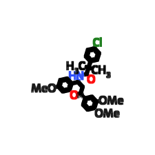 COc1ccc2c(c1)O[C@H](c1ccc(OC)c(OC)c1)CC2NC(=O)C(C)(C)c1ccc(Cl)cc1